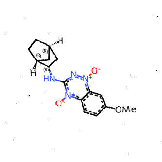 COc1ccc2c(c1)[n+]([O-])nc(N[C@@H]1C[C@@H]3CC[C@@H]1C3)[n+]2[O-]